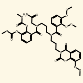 COOc1cccc(C(=O)N(CCCN(CC(N)=O)C(=O)c2cccc(OC(=O)OC)c2OC(=O)OC)CCCn2c(=O)oc3c(OOC)cccc3c2=O)c1OOC